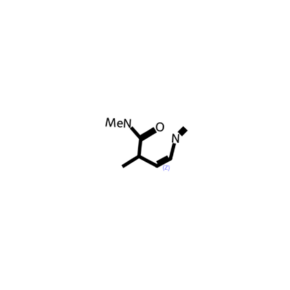 C=N/C=C\C(C)C(=O)NC